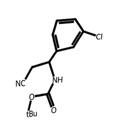 CC(C)(C)OC(=O)NC(CC#N)c1cccc(Cl)c1